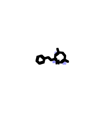 C/C1=C/N=C(CCc2ccccc2)\C=C(\C)CC1